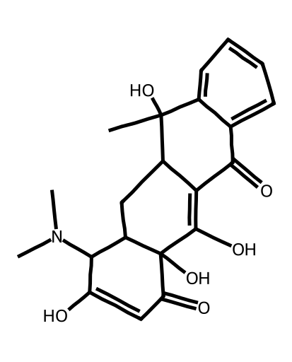 CN(C)C1C(O)=CC(=O)C2(O)C(O)=C3C(=O)c4ccccc4C(C)(O)C3CC12